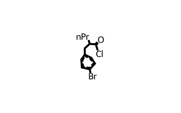 CCCC(Cc1ccc(Br)cc1)C(=O)Cl